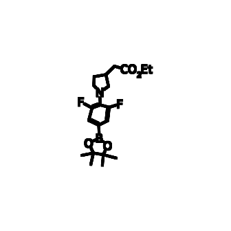 CCOC(=O)CC1CCN(c2c(F)cc(B3OC(C)(C)C(C)(C)O3)cc2F)C1